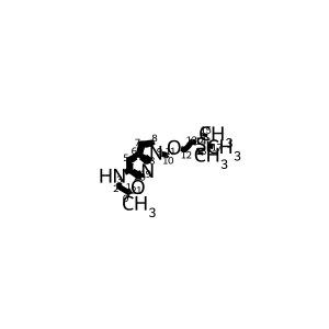 C[C@@H]1CNc2cc3ccn(COCC[Si](C)(C)C)c3nc2O1